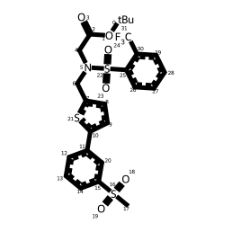 CC(C)(C)OC(=O)CN(Cc1ccc(-c2cccc(S(C)(=O)=O)c2)s1)S(=O)(=O)c1ccccc1C(F)(F)F